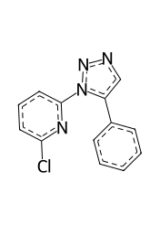 Clc1cccc(-n2nncc2-c2ccccc2)n1